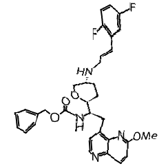 COc1ccc2nccc(C[C@@H](NC(=O)OCc3ccccc3)[C@@H]3CC[C@@H](NC/C=C/c4cc(F)ccc4F)CO3)c2n1